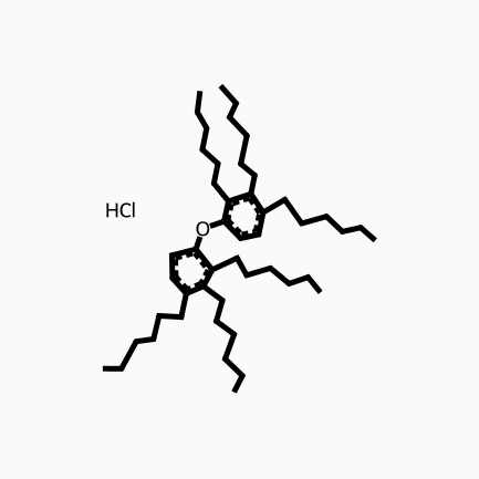 CCCCCCc1ccc(Oc2ccc(CCCCCC)c(CCCCCC)c2CCCCCC)c(CCCCCC)c1CCCCCC.Cl